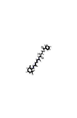 CC1=C(/C=C/C(C)=C/C=C/C(C)=C/C(=O)NCCOC(=O)c2cccnc2)C(C)(C)CCC1